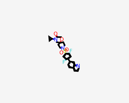 O=C1COC2(CCN(S(=O)(=O)c3cc(F)c(-c4ccc5cccnc5c4)cc3F)CC2)CN1C1CC1